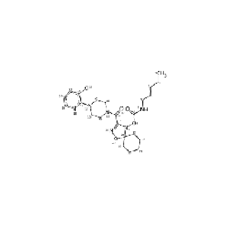 CCCCCNC(=O)ON1C(C(=O)N2CCN(c3ncccc3Cl)CC2)=NOC12CCCCC2